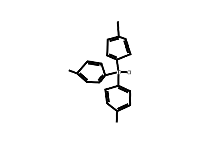 Cc1cc[c]([Ti]([Cl])([c]2ccc(C)cc2)[c]2ccc(C)cc2)cc1